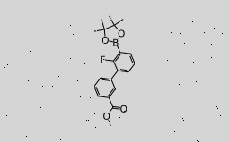 COC(=O)c1cccc(-c2cccc(B3OC(C)(C)C(C)(C)O3)c2F)c1